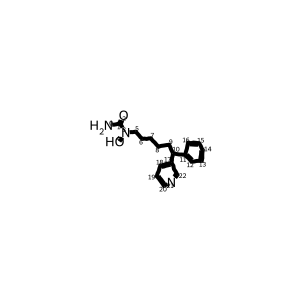 NC(=O)N(O)CCCCCC(c1ccccc1)c1cccnc1